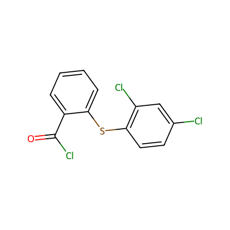 O=C(Cl)c1ccccc1Sc1ccc(Cl)cc1Cl